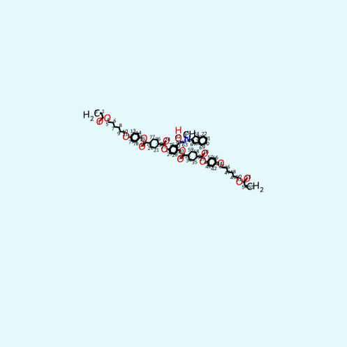 C=CC(=O)OCCCCCCOc1ccc(OC(=O)C2CCC(C(=O)Oc3ccc(OC(=O)C4CCC(C(=O)Oc5ccc(OCCCCCCOC(=O)C=C)cc5)CC4)c(/C(O)=C/N(C)C4=Cc5ccccc5C4)c3)CC2)cc1